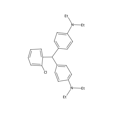 CCN(CC)c1ccc(C(c2ccc(N(CC)CC)cc2)c2ccccc2Cl)cc1